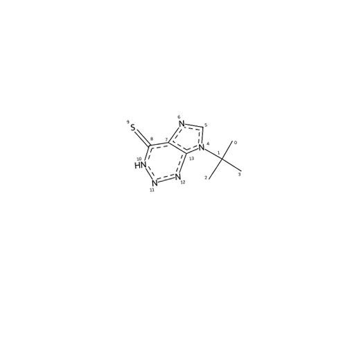 CC(C)(C)n1cnc2c(=S)[nH]nnc21